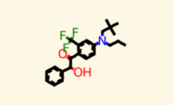 CCCN(CC(C)(C)C)c1ccc(C(=O)C(O)c2ccccc2)c(C(F)(F)F)c1